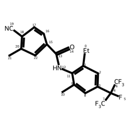 CCc1cc(C(F)(C(F)(F)F)C(F)(F)F)cc(C)c1NC(=O)c1ccc(C#N)c(C)c1